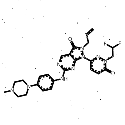 C=CCn1c(=O)c2cnc(Nc3ccc(N4CCN(C)CC4)cc3)nc2n1-c1ccc(=O)n(CC(F)F)n1